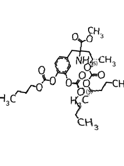 CCCCOC(=O)Oc1ccc(CC(N)(C[C@H](C)OC(=O)O[C@@H](C)CCC)C(=O)OC)cc1OC(=O)OCCCC